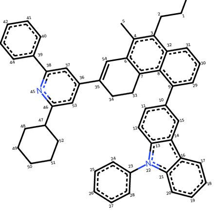 CCCc1c(C)c2c(c3c(-c4ccc5c(c4)c4ccccc4n5-c4ccccc4)cccc13)CCC(c1cc(-c3ccccc3)nc(C3CCCCC3)c1)=C2